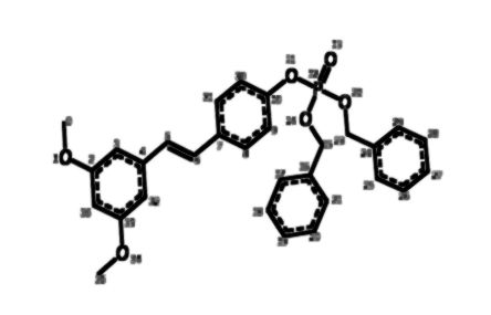 COc1cc(/C=C/c2ccc(OP(=O)(OCc3ccccc3)OCc3ccccc3)cc2)cc(OC)c1